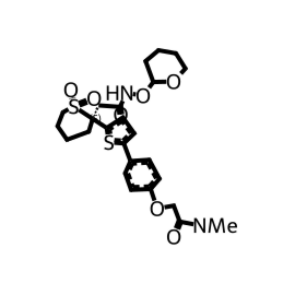 CNC(=O)COc1ccc(-c2ccc([C@@]3(CC(=O)NOC4CCCCO4)CCCCS3(=O)=O)s2)cc1